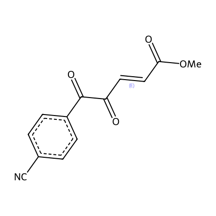 COC(=O)/C=C/C(=O)C(=O)c1ccc(C#N)cc1